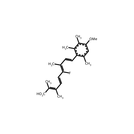 COc1cc(C)c(C=CC(C)=C(F)C=CC(C)=C(C)C(=O)O)c(C)c1C